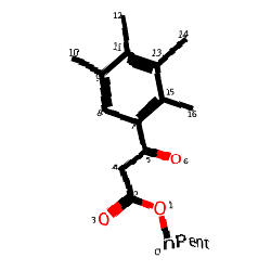 CCCCCOC(=O)CC(=O)c1cc(C)c(C)c(C)c1C